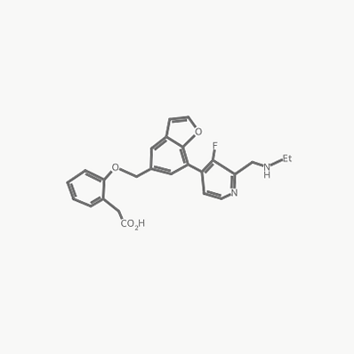 CCNCc1nccc(-c2cc(COc3ccccc3CC(=O)O)cc3ccoc23)c1F